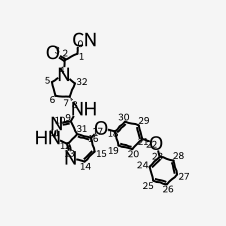 N#CCC(=O)N1CC[C@@H](Nc2n[nH]c3nccc(Oc4ccc(Oc5ccccc5)cc4)c23)C1